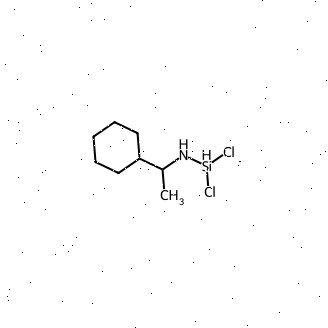 CC(N[SiH](Cl)Cl)C1CCCCC1